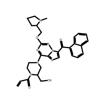 C=CC(=O)N1CCN(c2nc(OCC3CCCN3C)nn3c(C(=O)c4cccc5ccccc45)cnc23)CC1CC#N